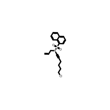 C=CCN(C#CCCCCCl)S(=O)(=O)c1[c]ccc2ccccc12